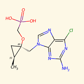 C[C@H]1C[C@@]1(Cn1cnc2c(Cl)nc(N)nc21)OCP(=O)(O)O